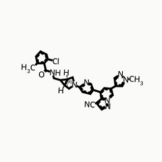 Cc1cccc(Cl)c1C(=O)NCC1[C@H]2CN(c3ccc(-c4cc(-c5cnn(C)c5)cn5ncc(C#N)c45)cn3)C[C@@H]12